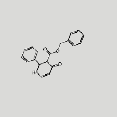 O=C1C=CNC(c2ccccc2)C1C(=O)OCc1ccccc1